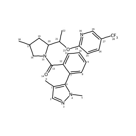 Cc1cnn(C)c1-c1ccccc1C(=O)N1CC(C)CC1C(C)Oc1ccc(C(F)(F)F)cn1